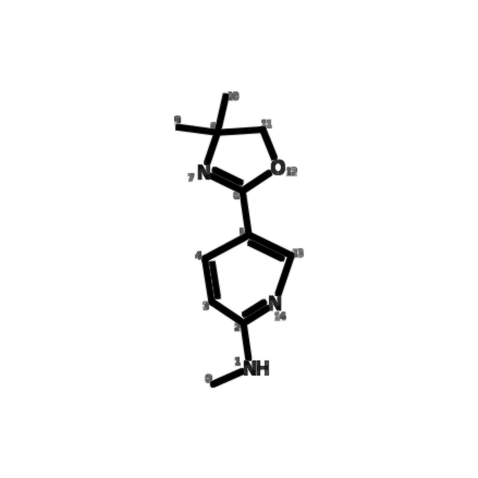 CNc1ccc(C2=NC(C)(C)CO2)cn1